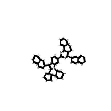 c1ccc2cc(-c3nc(-c4ccc5c(-c6ccc7ccccc7c6)c6c7ccccc7c7ccccc7n6c5c4)nc4c3ccc3ccccc34)ccc2c1